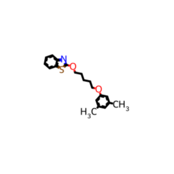 Cc1cc(C)cc(OCCCCCOc2nc3ccccc3s2)c1